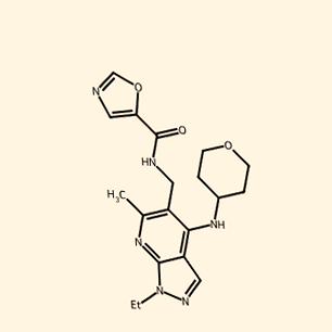 CCn1ncc2c(NC3CCOCC3)c(CNC(=O)c3cnco3)c(C)nc21